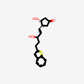 O=C1C[C@@H](O)[C@H](/C=C/C(O)CCc2cc3ccccc3s2)C1